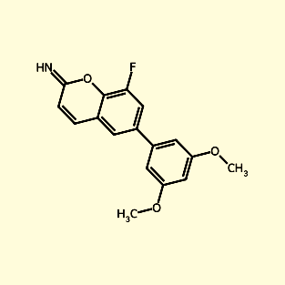 COc1cc(OC)cc(-c2cc(F)c3oc(=N)ccc3c2)c1